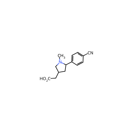 CN1CC(CC(=O)O)CC1c1ccc(C#N)cc1